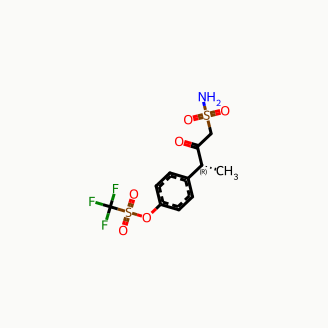 C[C@@H](C(=O)CS(N)(=O)=O)c1ccc(OS(=O)(=O)C(F)(F)F)cc1